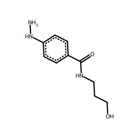 NNc1ccc(C(=O)NCCCO)cc1